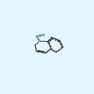 CNN1CC=Cc2ccccc21